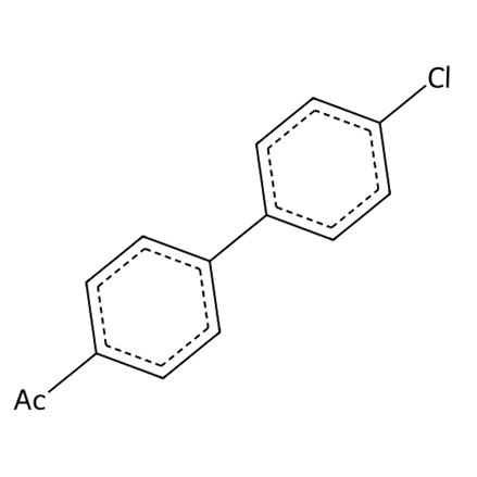 [CH2]C(=O)c1ccc(-c2ccc(Cl)cc2)cc1